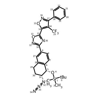 CC(C)(C)[Si](C)(C)O[C@H]1c2ccc(-c3noc(-c4onc(-c5ccccc5)c4C(F)(F)F)n3)cc2CC[C@H]1N=[N+]=[N-]